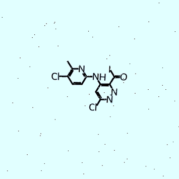 Cc1nc(Nc2cc(Cl)nnc2C(=O)I)ccc1Cl